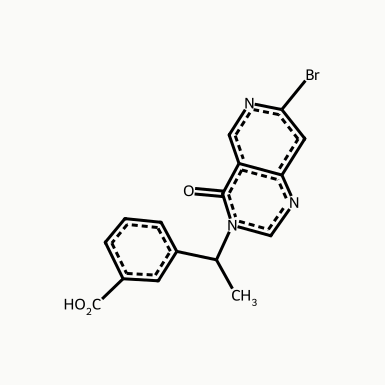 CC(c1cccc(C(=O)O)c1)n1cnc2cc(Br)ncc2c1=O